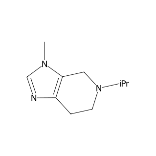 CC(C)N1CCc2ncn(C)c2C1